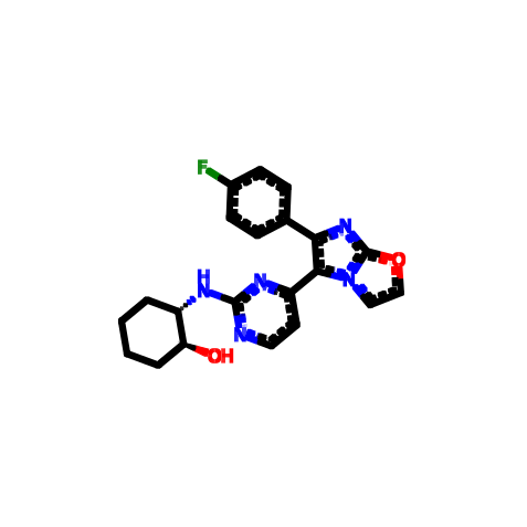 O[C@H]1CCCC[C@@H]1Nc1nccc(-c2c(-c3ccc(F)cc3)nc3occn23)n1